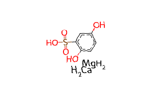 O=S(=O)(O)c1cc(O)ccc1O.[CaH2].[MgH2]